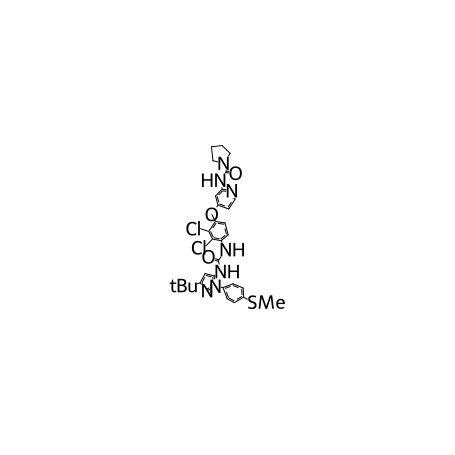 CSc1ccc(-n2nc(C(C)(C)C)cc2NC(=O)Nc2ccc(Oc3ccnc(NC(=O)N4CCCC4)c3)c(Cl)c2Cl)cc1